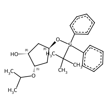 CC(C)O[C@H]1C[C@H](O[Si](c2ccccc2)(c2ccccc2)C(C)(C)C)C[C@H]1O